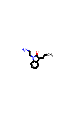 C=CC=C1C(=O)N(CCN)c2ccccc21